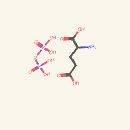 NC(CCC(=O)O)C(=O)O.O=P(O)(O)OP(=O)(O)O